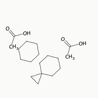 C1CCC2(CC1)CC2.C1CCCCC1.CC(=O)O.CC(=O)O